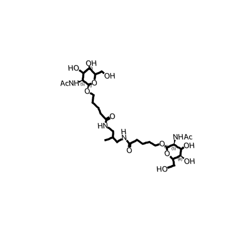 CC(=O)N[C@H]1C(O)[C@@H](O)C(CO)O[C@H]1OCCCCC(=O)NCC(C)CNC(=O)CCCCO[C@@H]1OC(CO)[C@H](O)C(O)[C@@H]1NC(C)=O